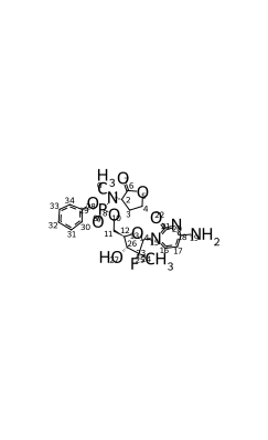 CN([C@H]1CCOC1=O)P(=O)(OC[C@H]1O[C@@H](n2ccc(N)nc2=O)[C@](C)(F)[C@@H]1O)Oc1ccccc1